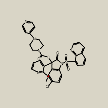 COc1ncccc1C1(OC(=O)N2CCN(c3ccncc3)CC2)C(=O)N(S(=O)(=O)c2cccc3cccnc23)c2ccc(Cl)cc21